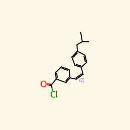 CC(C)Cc1ccc(/C=C\c2cccc(C(=O)Cl)c2)cc1